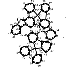 c1ccc(N(Cc2cc3c(cc2C2(c4ccccc4)c4ccccc4-c4ccccc42)oc2ccccc23)c2cccc3c2-c2ccccc2C3(c2ccccc2)c2ccccc2)cc1